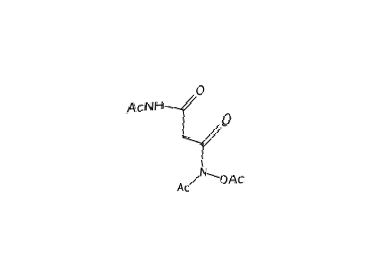 CC(=O)NC(=O)CC(=O)N(OC(C)=O)C(C)=O